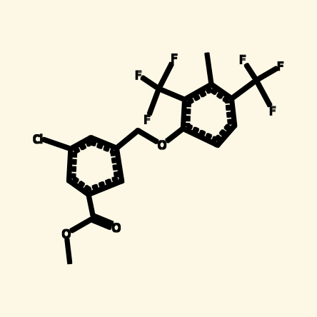 COC(=O)c1cc(Cl)cc(COc2ccc(C(F)(F)F)c(C)c2C(F)(F)F)c1